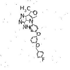 CC1OCC2=C1C1N=CN=C(N)C1N2c1ccc(Oc2cccc(OCc3ccc(F)cc3)c2)cc1